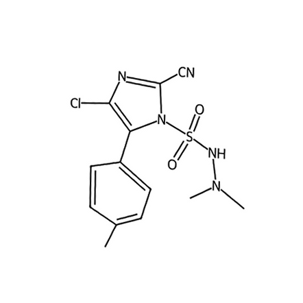 Cc1ccc(-c2c(Cl)nc(C#N)n2S(=O)(=O)NN(C)C)cc1